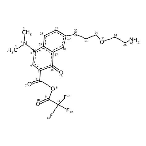 CN(C)n1cc(C(=O)OC(=O)C(F)(F)F)c(=O)c2cc(SCCOCCN)ccc21